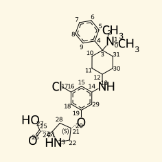 CN(C)C1(c2ccccc2)CCC(Nc2cc(Cl)cc(O[C@@H]3CN[C@H](C(=O)O)C3)c2)CC1